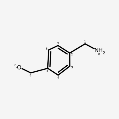 NCc1ccc(C[O])cc1